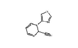 N#CC1N=CC=CN1c1cocn1